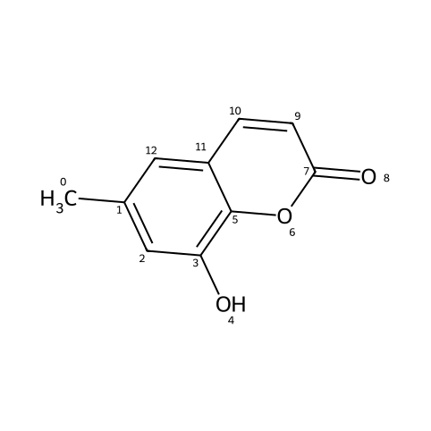 Cc1cc(O)c2oc(=O)ccc2c1